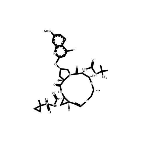 CC[C@@H]1C[C@H](C)CC/C=C\[C@@H]2C[C@@]2(C(=O)NS(=O)(=O)C2(C)CC2)NC(=O)[C@@H]2C[C@@H](Oc3cc(Cl)c4ccc(OC)cc4n3)CN2C(=O)[C@H]1NC(=O)OC(C)(C)C(F)(F)F